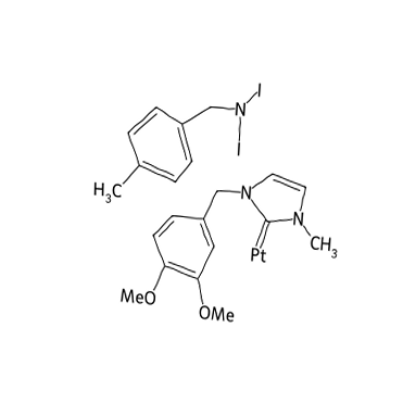 COc1ccc(Cn2ccn(C)[c]2=[Pt])cc1OC.Cc1ccc(CN(I)I)cc1